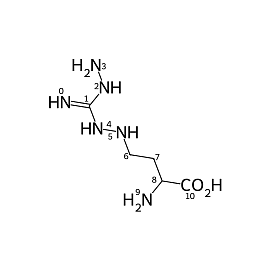 N=C(NN)NNCCC(N)C(=O)O